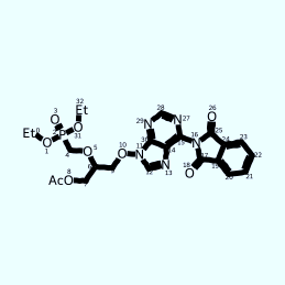 CCOP(=O)(COC(COC(C)=O)COn1cnc2c(N3C(=O)c4ccccc4C3=O)ncnc21)OCC